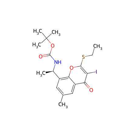 CCSc1oc2c([C@@H](C)NC(=O)OC(C)(C)C)cc(C)cc2c(=O)c1I